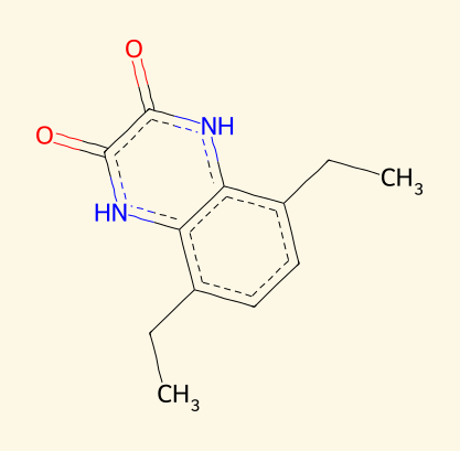 CCc1ccc(CC)c2[nH]c(=O)c(=O)[nH]c12